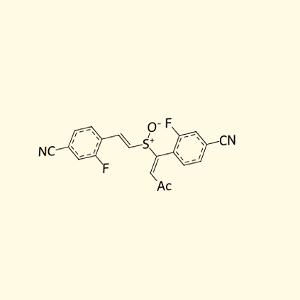 CC(=O)/C=C(\c1ccc(C#N)cc1F)[S+]([O-])C=Cc1ccc(C#N)cc1F